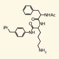 CC(=O)NC(Cc1ccccc1)C(=O)NC(CCCCN)C(=O)Nc1ccc(CC(C)C)cc1